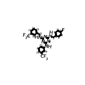 Fc1ccc(CNc2nc(NCc3cccc(C(F)(F)F)c3)nc(Nc3cccc(C(F)(F)F)c3)n2)cc1